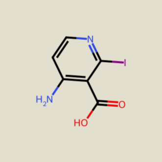 Nc1ccnc(I)c1C(=O)O